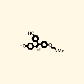 CCC(=C(c1ccc(O)cc1)c1ccc(OCCNC)cc1)C1CCC(O)CC1